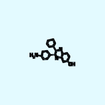 Nc1ccc(-c2nc3cc(O)ccc3nc2-c2ccccc2)cc1